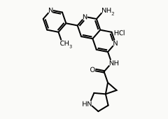 Cc1ccncc1-c1cc2cc(NC(=O)C3CC34CCNC4)ncc2c(N)n1.Cl